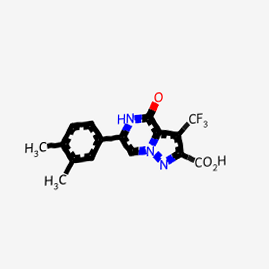 Cc1ccc(-c2cn3nc(C(=O)O)c(C(F)(F)F)c3c(=O)[nH]2)cc1C